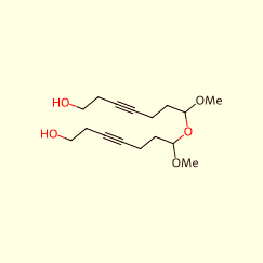 COC(CCC#CCCO)OC(CCC#CCCO)OC